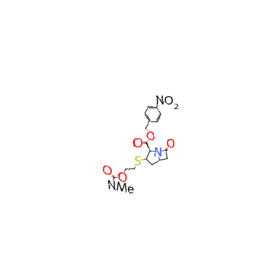 CNC(=O)OCCS[C@@H]1CC2CC(=O)N2[C@@H]1C(=O)OCc1ccc([N+](=O)[O-])cc1